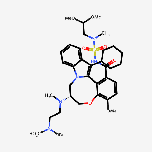 COc1ccc(C(=O)NS(=O)(=O)N(C)CC(OC)OC)c2c1OC[C@H](N(C)CCN(C(=O)O)C(C)(C)C)Cn1c-2c(C2CCCCC2)c2ccccc21